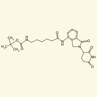 CC(C)(C)OC(=O)NCCCCCC(=O)Nc1cccc2c1CN(C1CCC(=O)NC1=O)C2=O